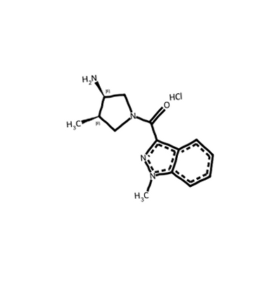 C[C@@H]1CN(C(=O)c2nn(C)c3ccccc23)C[C@@H]1N.Cl